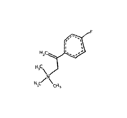 C=C(C[Si](C)(C)C)c1ccc(F)cc1